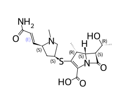 C[C@@H](O)[C@H]1C(=O)N2C(C(=O)O)=C(S[C@H]3C[C@@H](/C=C/C(N)=O)N(C)C3)[C@H](C)[C@H]12